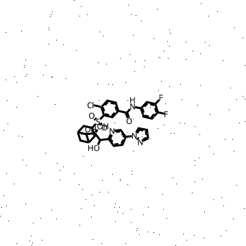 O=C(Nc1ccc(F)c(F)c1)c1ccc(Cl)c(S(=O)(=O)C2CC3CC(C2)C3(O)C(O)C(O)c2ccc(-n3cccn3)cn2)c1